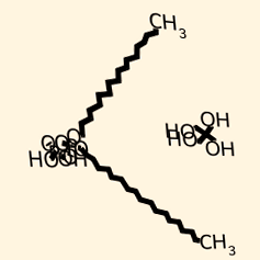 CCCCCCCCCCCCCCCCCCOP(=O)(OCCCCCCCCCCCCCCCCCC)OP(=O)(O)O.OCC(CO)(CO)CO